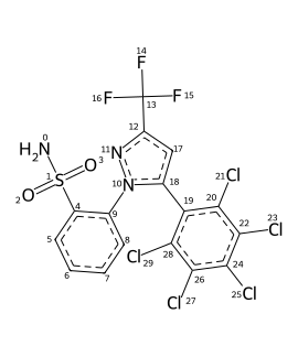 NS(=O)(=O)c1ccccc1-n1nc(C(F)(F)F)cc1-c1c(Cl)c(Cl)c(Cl)c(Cl)c1Cl